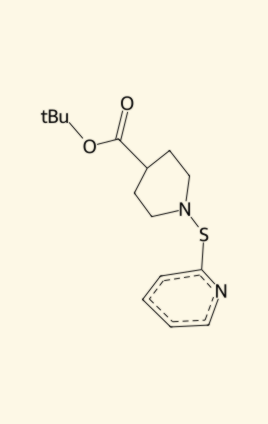 CC(C)(C)OC(=O)C1CCN(Sc2ccccn2)CC1